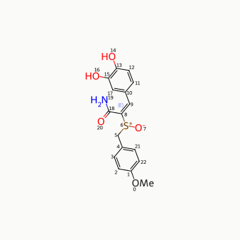 COc1ccc(C[S+]([O-])/C(=C/c2ccc(O)c(O)c2)C(N)=O)cc1